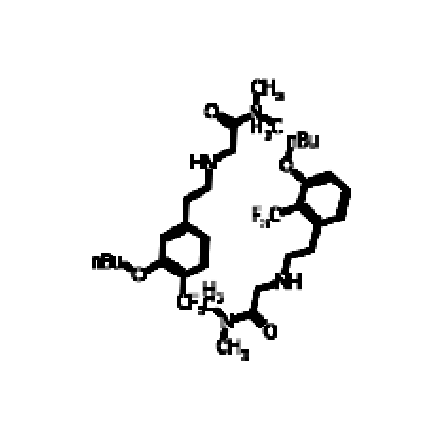 CCCCOc1cc(CCNCC(=O)N(C)C)ccc1C(F)(F)F.CCCCOc1cccc(CCNCC(=O)N(C)C)c1C(F)(F)F